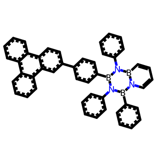 C1=CB2N(C=C1)B(c1ccccc1)N(c1ccccc1)B(c1ccc(-c3ccc4c5ccccc5c5ccccc5c4c3)cc1)N2c1ccccc1